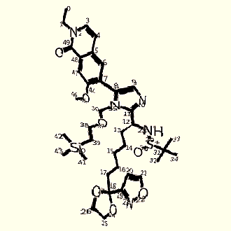 CCn1ccc2cc(-c3cnc([C@H](CCCCCC4(c5ccon5)OCCO4)N[S+]([O-])C(C)(C)C)n3COCC[Si](C)(C)C)c(OC)cc2c1=O